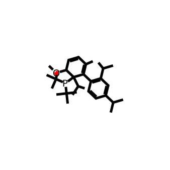 COC1C=CC(C)=C(c2ccc(C(C)C)cc2C(C)C)C1(C(C)C)P(C(C)(C)C)C(C)(C)C